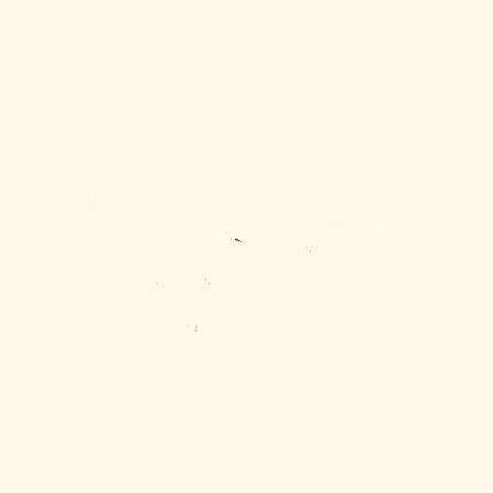 COc1cc2c(N[C@@H]3CCCN(C(=O)OC(C)(C)C)C3)nc(N)nc2cc1O